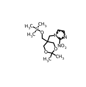 CC1(C)OCC(CO[Si](C)(C)C)(Cn2ccnc2[N+](=O)[O-])CO1